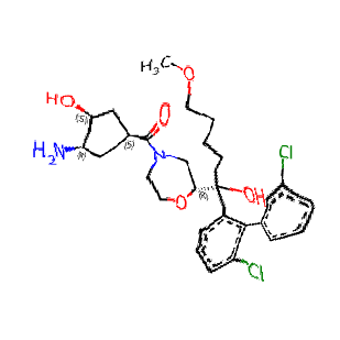 COCCCCC(O)(c1cccc(Cl)c1-c1cccc(Cl)c1)[C@H]1CN(C(=O)[C@H]2C[C@@H](N)[C@@H](O)C2)CCO1